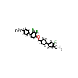 CCCc1ccc(-c2ccc(OCC3CCC(c4ccc(C)c(F)c4)CC3)c(F)c2F)cc1